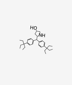 CCC(CC)(CC)c1ccc(C(c2ccc(C(CC)(CC)CC)cc2)C2CC(O)CN2)cc1